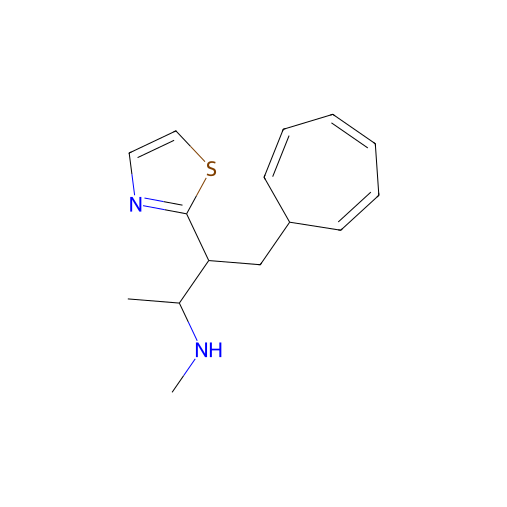 CNC(C)C(CC1C=CC=CC=C1)c1nccs1